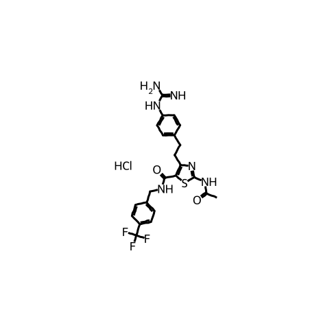 CC(=O)Nc1nc(CCc2ccc(NC(=N)N)cc2)c(C(=O)NCc2ccc(C(F)(F)F)cc2)s1.Cl